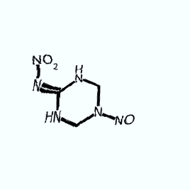 O=NN1CNC(=N[N+](=O)[O-])NC1